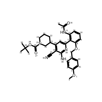 COc1ccc(COc2cccc(NC(C)=O)c2-c2cc(C3CCCN(C(=O)OC(C)(C)C)C3)c(C#N)c(N)n2)cc1